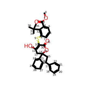 COC(=O)c1cccc(SC2=C(O)CC(CCc3ccccc3)(c3ccccc3)OC2=O)c1C(C)(C)C